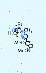 CO/N=C1/CCc2cc(-c3ccc(N(C)C4CC(C)(C)NC(C)(C)C4)nn3)c(OC)cc21